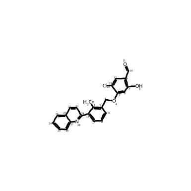 Cc1c(COc2cc(O)c(C=O)cc2Cl)cccc1-c1ccc2ccccc2n1